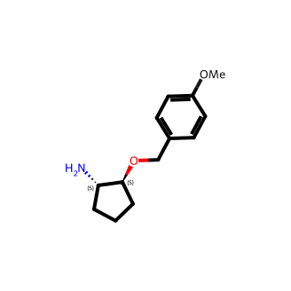 COc1ccc(CO[C@H]2CCC[C@@H]2N)cc1